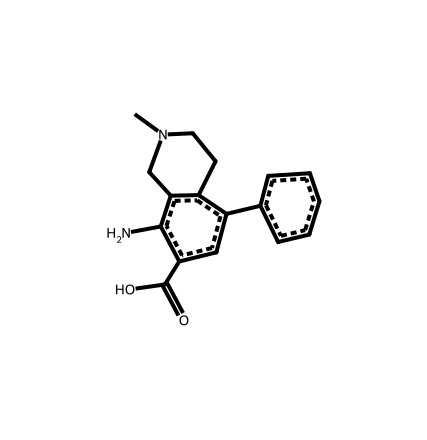 CN1CCc2c(-c3ccccc3)cc(C(=O)O)c(N)c2C1